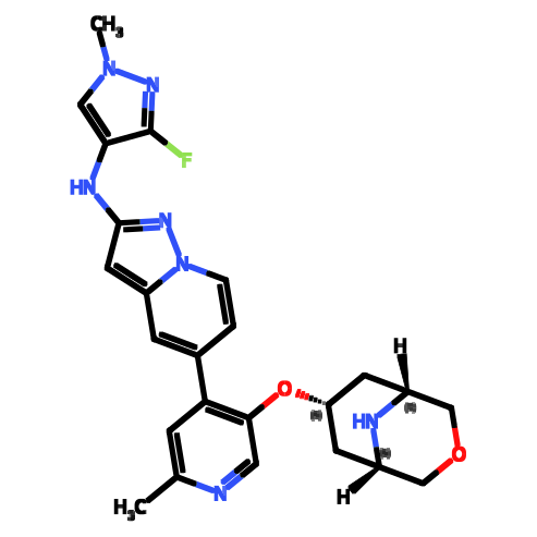 Cc1cc(-c2ccn3nc(Nc4cn(C)nc4F)cc3c2)c(O[C@H]2C[C@H]3COC[C@@H](C2)N3)cn1